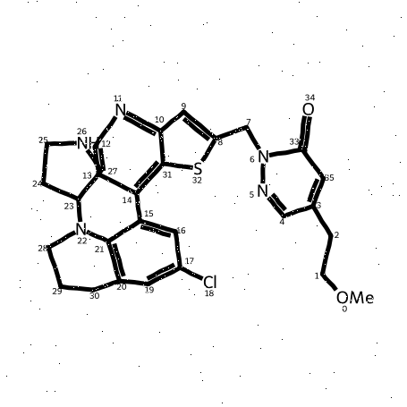 COCCc1cnn(Cc2cc3nccc(-c4cc(Cl)cc5c4N(C4CCNC4)CCC5)c3s2)c(=O)c1